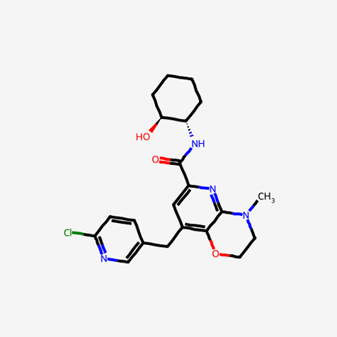 CN1CCOc2c(Cc3ccc(Cl)nc3)cc(C(=O)N[C@H]3CCCC[C@@H]3O)nc21